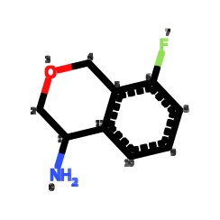 NC1COCc2c(F)cccc21